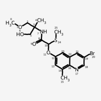 COCC(C)(CO)NC(=O)C(Oc1cc(C)c2ncc(Br)cc2c1)SC